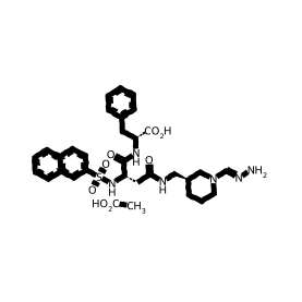 CC(=O)O.NN=CN1CCC[C@@H](CNC(=O)C[C@H](NS(=O)(=O)c2ccc3ccccc3c2)C(=O)N[C@H](Cc2ccccc2)C(=O)O)C1